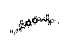 COCC1CN(c2ccc([C@H]3CC[C@H](OCCCNC(C)=O)CC3)cc2)C(=O)O1